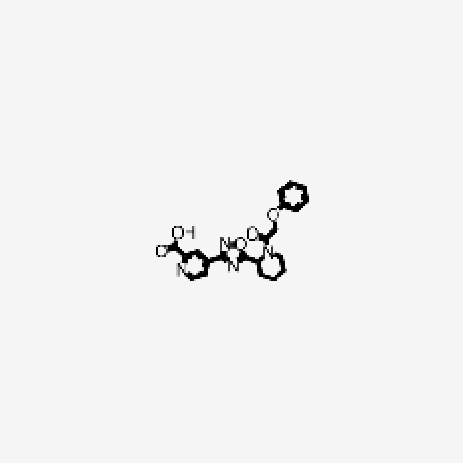 O=C(O)c1cc(-c2noc(C3CCCCN3C(=O)COc3ccccc3)n2)ccn1